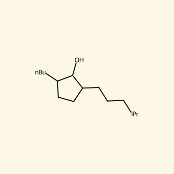 CCCCC1CCC(CCCC(C)C)C1O